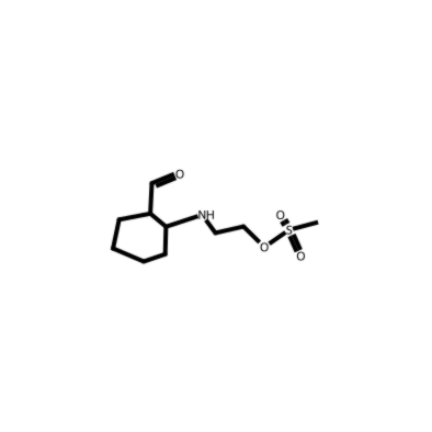 CS(=O)(=O)OCCNC1CCCCC1C=O